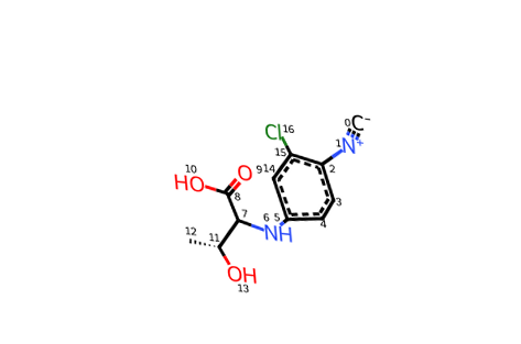 [C-]#[N+]c1ccc(NC(C(=O)O)[C@@H](C)O)cc1Cl